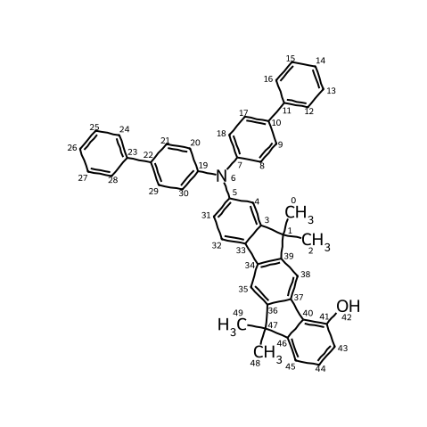 CC1(C)c2cc(N(c3ccc(-c4ccccc4)cc3)c3ccc(-c4ccccc4)cc3)ccc2-c2cc3c(cc21)-c1c(O)cccc1C3(C)C